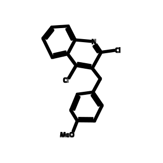 COc1ccc(Cc2c(Cl)nc3ccccc3c2Cl)cc1